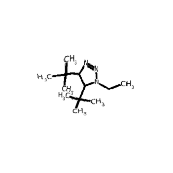 CCN1N=NC(C(C)(C)C)C1C(C)(C)C